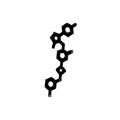 Cc1ccc(-c2noc(C)c2Cn2ncc(N3CC(Oc4ccnc(Cl)c4)C3)cc2=O)nn1